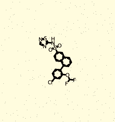 O=S(=O)(Nc1ncns1)c1ccc2c(-c3ccc(Cl)cc3OC(F)F)cccc2c1